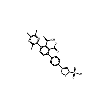 Cc1nc(C)c(-c2ccc(-c3ccc(C4=CC(S(=O)(=O)O)SS4)cc3)c(C(=O)O)c2C(=O)O)nc1C